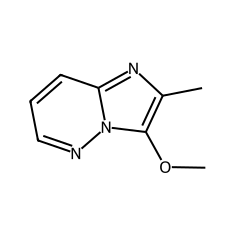 COc1c(C)nc2cccnn12